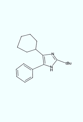 CC(C)(C)c1nc(C2CCCCC2)c(-c2ccccc2)[nH]1